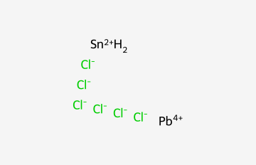 [Cl-].[Cl-].[Cl-].[Cl-].[Cl-].[Cl-].[Pb+4].[SnH2+2]